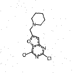 Clc1nc(Cl)c2oc(CN3CCCCC3)cc2n1